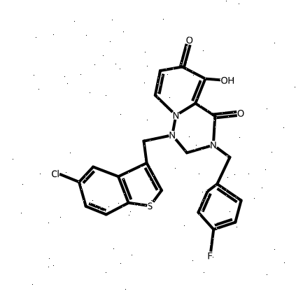 O=C1c2c(O)c(=O)ccn2N(Cc2csc3ccc(Cl)cc23)CN1Cc1ccc(F)cc1